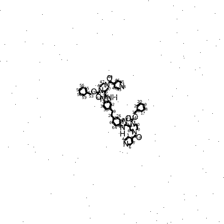 O=C(c1ccncc1)N1CCN(C(=O)OCc2ccccc2)C(c2nc3cc(CCc4ccc5nc(C6CN(C(=O)c7ccncc7)CCN6C(=O)OCc6ccccc6)[nH]c5c4)ccc3[nH]2)C1